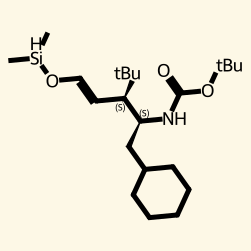 C[SiH](C)OC=C[C@H]([C@H](CC1CCCCC1)NC(=O)OC(C)(C)C)C(C)(C)C